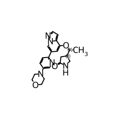 C[C@@H](Oc1cc(-c2ccc(N3CCOCC3)cn2)cn2nccc12)[C@H]1CNC(=O)C1